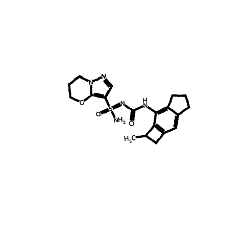 CC1Cc2cc3c(c(NC(=O)N=S(N)(=O)c4cnn5c4OCCC5)c21)CCC3